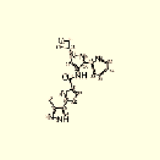 Cc1n[nH]cc1-c1nc(C(=O)Nc2cn(C3COC3)nc2-c2ccccn2)cs1